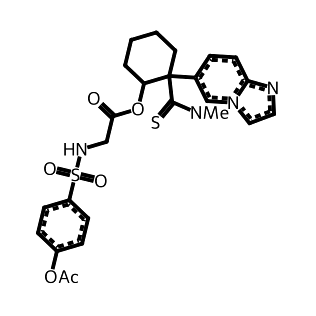 CNC(=S)C1(c2ccc3nccn3c2)CCCCC1OC(=O)CNS(=O)(=O)c1ccc(OC(C)=O)cc1